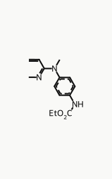 C=CC(=NC)N(C)c1ccc(NC(=O)OCC)cc1